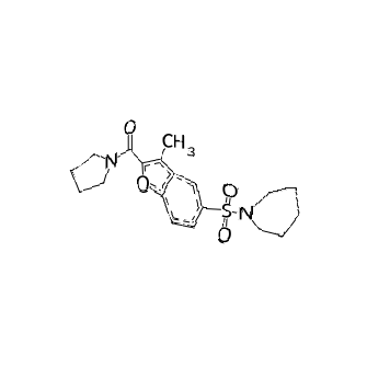 Cc1c(C(=O)N2CCCC2)oc2ccc(S(=O)(=O)N3CCCCC3)cc12